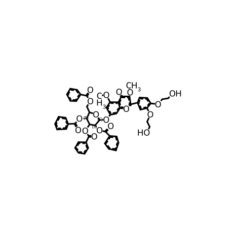 COc1c(-c2ccc(OCCO)c(OCCO)c2)oc2cc(O[C@@H]3OC(COC(=O)c4ccccc4)[C@@H](OC(=O)c4ccccc4)C(OC(=O)c4ccccc4)[C@@H]3OC(=O)c3ccccc3)cc(OC)c2c1=O